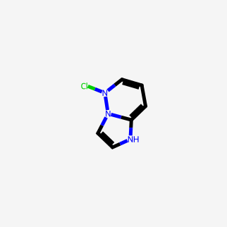 ClN1C=CC=C2NC=CN21